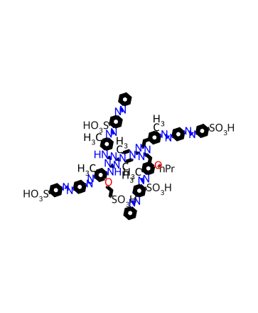 CCCOc1cc(N=Nc2ccc(N=Nc3ccccc3)cc2S(=O)(=O)O)c(C)cc1Cc1nc(Cc2ccc(N=Nc3ccc(N=Nc4ccc(S(=O)(=O)O)cc4)cc3)c(C)c2)nc(N2CC(C)N(c3nc(Nc4ccc(N=Nc5ccc(N=Nc6ccccc6)cc5S(=O)(=O)O)c(C)c4)nc(Nc4cc(C)c(N=Nc5ccc(N=Nc6ccc(S(=O)(=O)O)cc6)cc5)cc4OCCCS(=O)(=O)O)n3)C(C)C2)n1